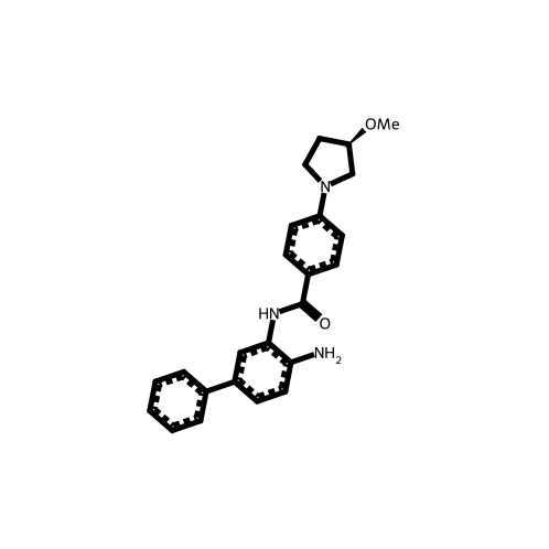 CO[C@@H]1CCN(c2ccc(C(=O)Nc3cc(-c4ccccc4)ccc3N)cc2)C1